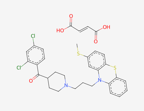 CSc1ccc2c(c1)N(CCCN1CCC(C(=O)c3ccc(Cl)cc3Cl)CC1)c1ccccc1S2.O=C(O)C=CC(=O)O